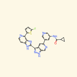 O=C(Nc1cncc(-c2cc3c(-c4nc5c(-c6ccc(F)s6)nccc5[nH]4)n[nH]c3cn2)c1)C1CC1